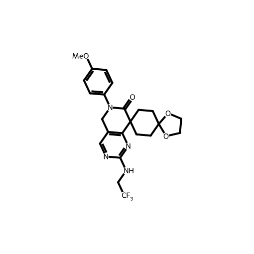 COc1ccc(N2Cc3cnc(NCC(F)(F)F)nc3C3(CCC4(CC3)OCCO4)C2=O)cc1